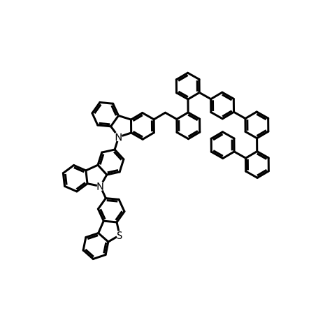 c1ccc(-c2ccccc2-c2cccc(-c3ccc(-c4ccccc4-c4ccccc4Cc4ccc5c(c4)c4ccccc4n5-c4ccc5c(c4)c4ccccc4n5-c4ccc5sc6ccccc6c5c4)cc3)c2)cc1